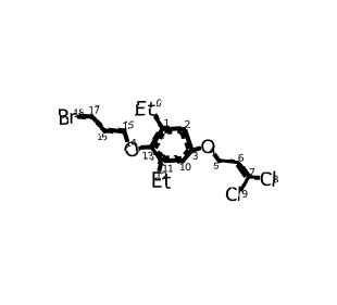 CCc1cc(OCC=C(Cl)Cl)cc(CC)c1OCCCBr